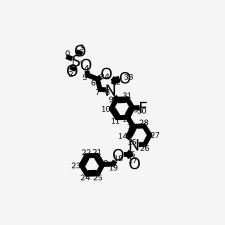 CS(=O)(=O)OCC1CN(c2ccc(C3=CN(C(=O)OCc4ccccc4)CCC3)c(F)c2)C(=O)O1